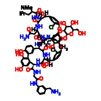 CN[C@H](CC(C)C)C(=O)N[C@H]1C(=O)N[C@@H](CC(N)=O)C(=O)N[C@H]2C(=O)N[C@H]3C(=O)N[C@H](C(=O)N[C@H](C(=O)NCC(=O)Nc4cccc(CN)c4)c4cc(O)cc(O)c4-c4cc3ccc4O)[C@H](O)c3ccc(c(Cl)c3)Oc3cc2cc(c3O[C@@H]2O[C@H](CO)[C@@H](O)[C@H](O)[C@H]2O[C@H]2C[C@](C)(N)[C@H](O)[C@H](C)O2)Oc2ccc(cc2Cl)[C@H]1O